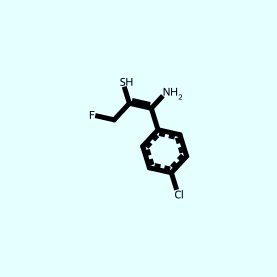 N/C(=C(\S)CF)c1ccc(Cl)cc1